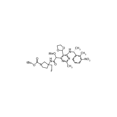 COC(C(=O)NC1(CF)CCN(C(=O)OC(C)(C)C)C1)c1nc(C)nc(N[C@H](C)c2cccc([N+](=O)[O-])c2C)c1C1OCCO1